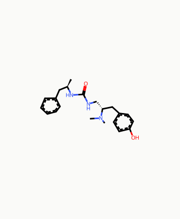 C[C@H](Cc1ccccc1)NC(=O)NC[C@H](Cc1ccc(O)cc1)N(C)C